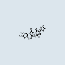 CC(=O)OCC1=C(C(=O)O)N2C(=O)[C@@H](N3C(=O)C(c4cccs4)NC3(C)C)[C@H]2SC1